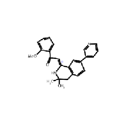 COc1ccccc1C(=O)/C=C1\NC(C)(C)Cc2ccc(-c3cccnc3)cc21